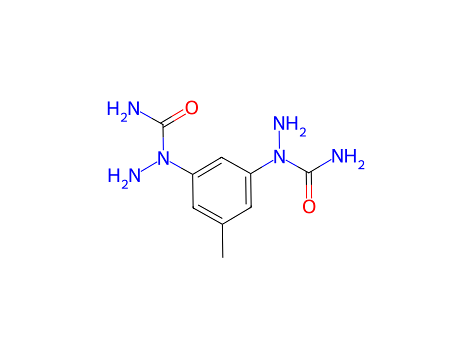 Cc1cc(N(N)C(N)=O)cc(N(N)C(N)=O)c1